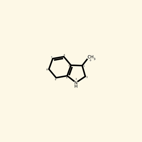 CC1CNC2=C1C=CCC2